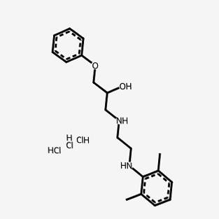 Cc1cccc(C)c1NCCNCC(O)COc1ccccc1.Cl.Cl.Cl